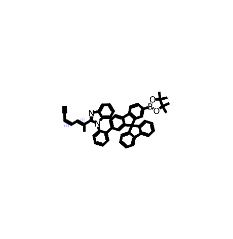 C#C/C=C\C=C(/C)c1nc2ccccc2n1-c1ccccc1-c1ccc2c(c1)C1(c3ccccc3-c3ccccc31)c1cc(B3OC(C)(C)C(C)(C)O3)ccc1-2